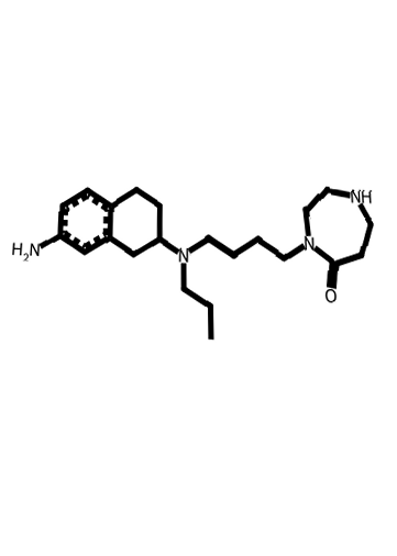 CCCN(CCCCN1CCNCCC1=O)C1CCc2ccc(N)cc2C1